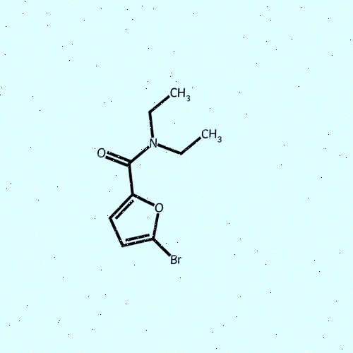 CCN(CC)C(=O)c1ccc(Br)o1